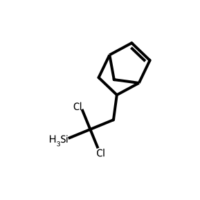 [SiH3]C(Cl)(Cl)CC1CC2C=CC1C2